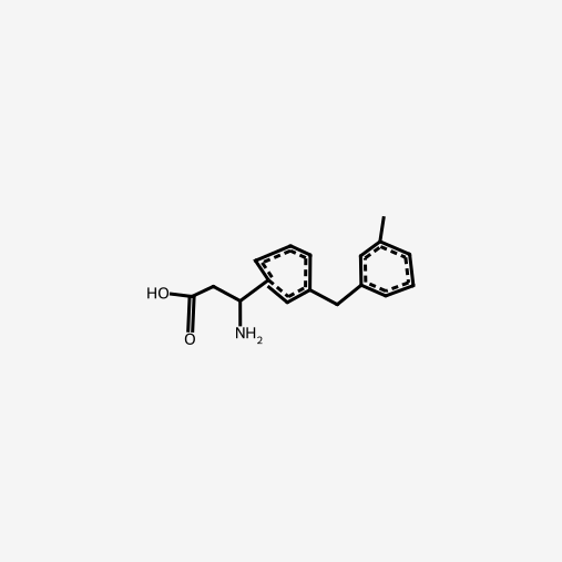 Cc1cccc(Cc2cccc(C(N)CC(=O)O)c2)c1